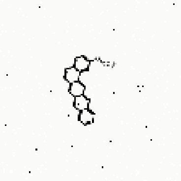 O=C(O)Oc1ccc2ccc3cc4cc5ccccc5cc4cc3c2c1